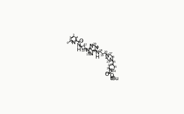 Cc1cccc(C(=O)NC2CC(n3cnc4c(NCCCN5CCN(CC6CCN(C(=O)OC(C)(C)C)CC6)CC5)ncnc43)C2)n1